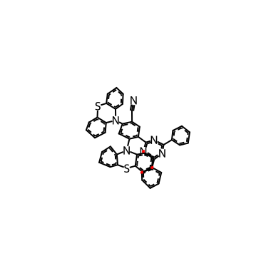 N#Cc1cc(-c2nc(-c3ccccc3)nc(-c3ccccc3)n2)c(N2c3ccccc3Sc3ccccc32)cc1N1c2ccccc2Sc2ccccc21